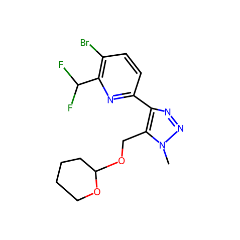 Cn1nnc(-c2ccc(Br)c(C(F)F)n2)c1COC1CCCCO1